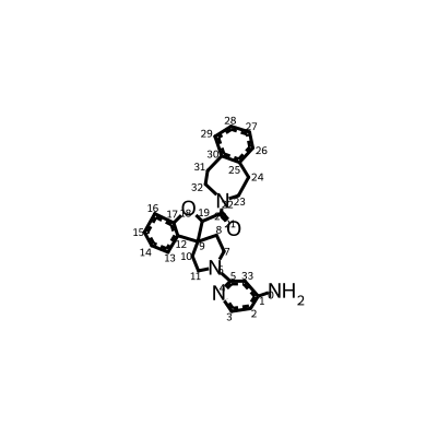 Nc1ccnc(N2CCC3(CC2)c2ccccc2OC3C(=O)N2CCc3ccccc3CC2)c1